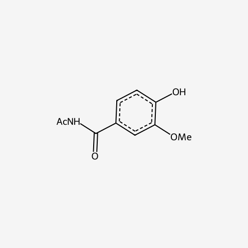 COc1cc(C(=O)NC(C)=O)ccc1O